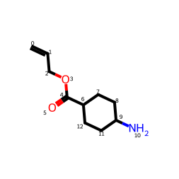 C=CCOC(=O)C1CCC(N)CC1